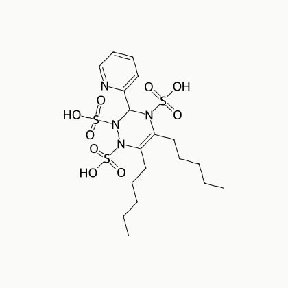 CCCCCC1=C(CCCCC)N(S(=O)(=O)O)N(S(=O)(=O)O)C(c2ccccn2)N1S(=O)(=O)O